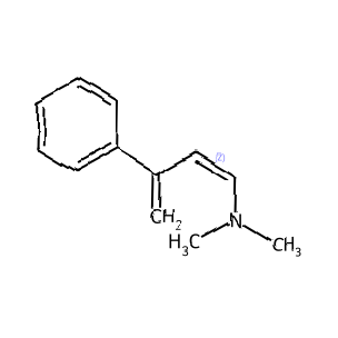 C=C(/C=C\N(C)C)c1ccccc1